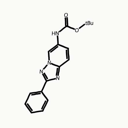 CC(C)(C)OC(=O)Nc1ccc2nc(-c3ccccc3)nn2c1